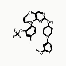 COc1cc(N2CCC(Nc3ncc4c(n3)N(c3ccc(F)cc3OC(F)(F)F)CCO4)CC2)ccn1